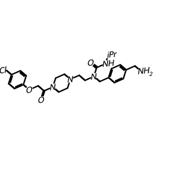 CC(C)NC(=O)N(CCN1CCN(C(=O)COc2ccc(Cl)cc2)CC1)Cc1ccc(CN)cc1